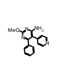 COc1nc(N)c(-c2ccncc2)c(-c2ccccc2)n1